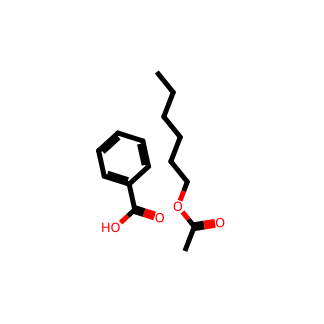 CCCCCCOC(C)=O.O=C(O)c1ccccc1